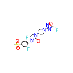 CS(=O)(=O)c1cc(F)c(CN2CCN(C3CCN(c4noc(CF)n4)CC3)C2=O)c(F)c1